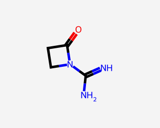 N=C(N)N1CCC1=O